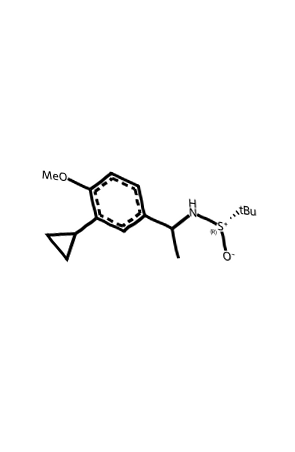 COc1ccc(C(C)N[S@@+]([O-])C(C)(C)C)cc1C1CC1